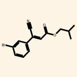 CC(C)COC(=O)C=C(C#N)c1cccc(Br)c1